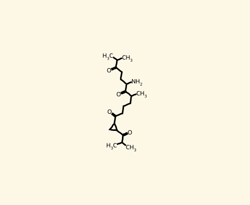 CC(C)C(=O)CCC(N)C(=O)C(C)CCCC(=O)C1CC1C(=O)C(C)C